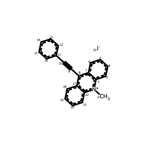 C[n+]1c2ccccc2c(C#Cc2ccccc2)c2ccccc21.[I-]